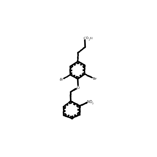 O=C(O)CCc1cc(Br)c(OCc2ccccc2[N+](=O)[O-])c(Br)c1